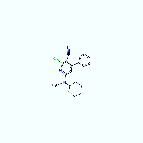 CN(c1cc(-c2ccccc2)c(C#N)c(Cl)n1)C1CCCCC1